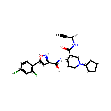 C#CC(C)NC(=O)[C@H]1CN(C2CCCC2)CC[C@@H]1NC(=O)c1cc(-c2ccc(F)cc2F)on1